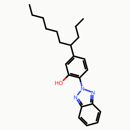 CCCCCCC(CCC)c1ccc(-n2nc3ccccc3n2)c(O)c1